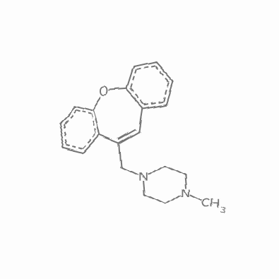 CN1CCN(CC2=Cc3ccccc3Oc3ccccc32)CC1